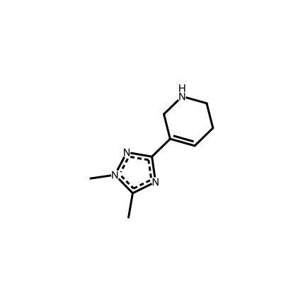 Cc1nc(C2=CCCNC2)nn1C